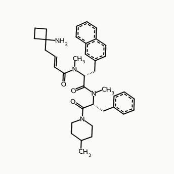 CC1CCN(C(=O)[C@@H](Cc2ccccc2)N(C)C(=O)[C@@H](Cc2ccc3ccccc3c2)N(C)C(=O)/C=C/CC2(N)CCC2)CC1